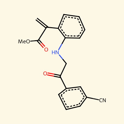 C=C(C(=O)OC)c1ccccc1NCC(=O)c1cccc(C#N)c1